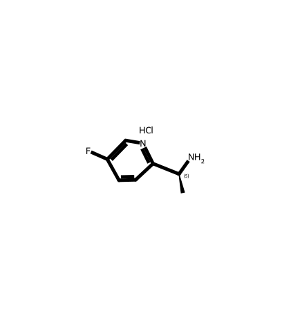 C[C@H](N)c1ccc(F)cn1.Cl